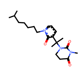 CC(C)CCCCCn1cccc(C(C)(C)N2CCC(=O)N(C)C2=O)c1=O